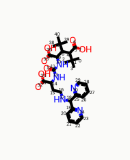 CC(C)(C)C(C(=O)O)C(C(NC(=O)NC(CCNC(c1ccccn1)c1ccccn1)C(=O)O)C(=O)O)C(C)(C)C